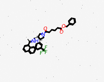 C[C@@H](NC[C@@H]1CN(C(=O)CCCCC(=O)OCc2ccccc2)C[C@@H]1c1cccc(C(F)(F)F)c1)c1cccc2ccccc12